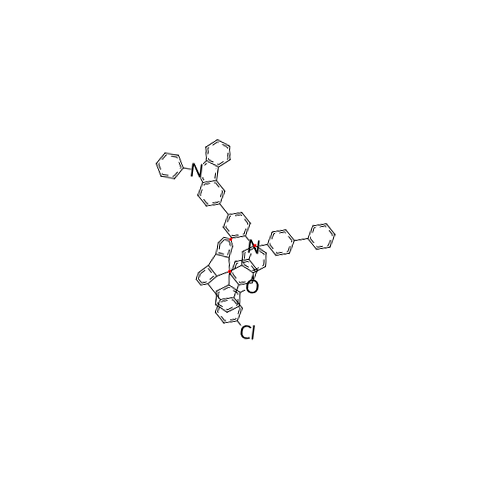 Clc1ccc(-c2cccc3c2C2(c4ccccc4Oc4ccccc42)c2ccccc2-3)c(-c2ccc(N(c3ccc(-c4ccccc4)cc3)c3ccc(-c4ccc5c(c4)c4ccccc4n5-c4ccccc4)cc3)cc2)c1